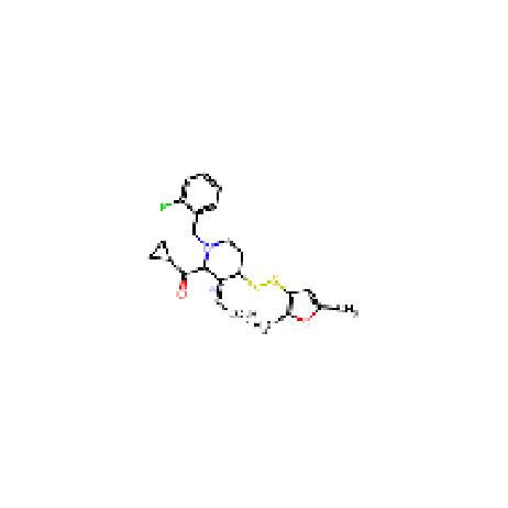 Cc1cc(SSC2CCN(Cc3ccccc3Cl)C(C(=O)C3CC3)/C2=C/C(=O)O)c(C)o1